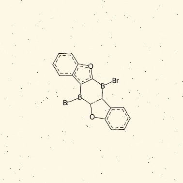 BrB1c2c(oc3ccccc23)B(Br)C2c3ccccc3OC12